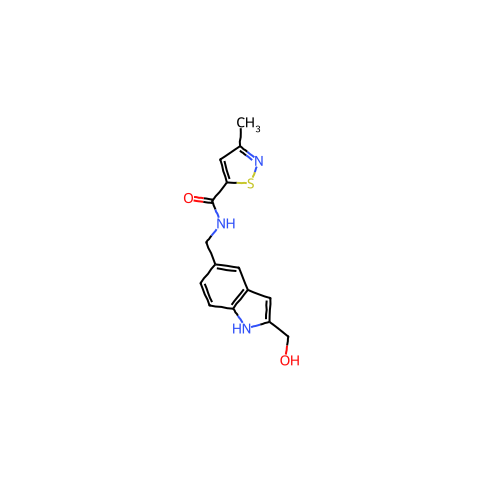 Cc1cc(C(=O)NCc2ccc3[nH]c(CO)cc3c2)sn1